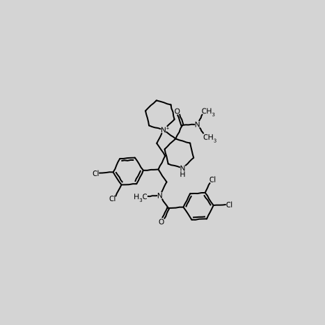 CN(C)C(=O)C1([N+]2(CCC(CN(C)C(=O)c3ccc(Cl)c(Cl)c3)c3ccc(Cl)c(Cl)c3)CCCCC2)CCNCC1